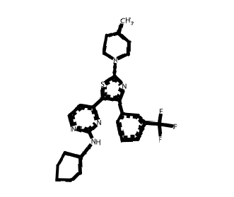 CC1CCN(c2nc(-c3cccc(C(F)(F)F)c3)c(-c3ccnc(NC4CCCCC4)n3)s2)CC1